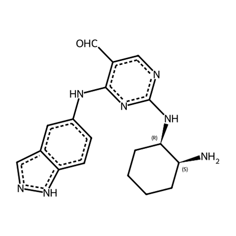 N[C@H]1CCCC[C@H]1Nc1ncc(C=O)c(Nc2ccc3[nH]ncc3c2)n1